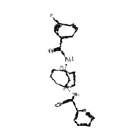 O=C(N[C@]12CCC[C@](NC(=O)c3ccccn3)(CC1)C2)c1cccc(F)c1